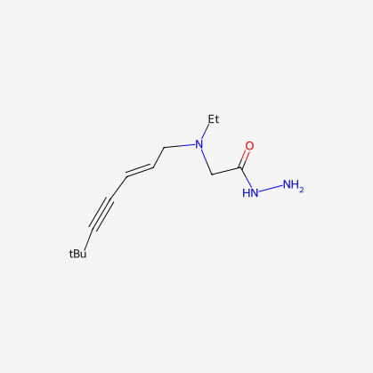 CCN(C/C=C/C#CC(C)(C)C)CC(=O)NN